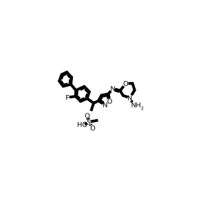 CC(c1ccc(-c2ccccc2)c(F)c1)c1cc(N=C2CN(N)CCO2)on1.CS(=O)(=O)O